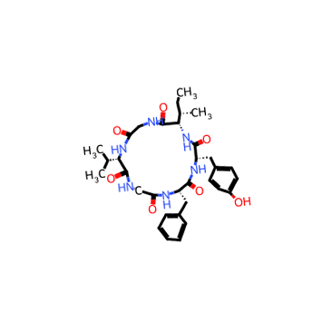 CC[C@H](C)[C@@H]1NC(=O)[C@H](Cc2ccc(O)cc2)NC(=O)[C@H](Cc2ccccc2)NC(=O)CNC(=O)[C@H](C(C)C)NC(=O)CNC1=O